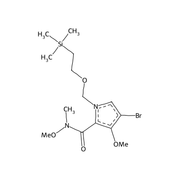 COc1c(Br)cn(COCC[Si](C)(C)C)c1C(=O)N(C)OC